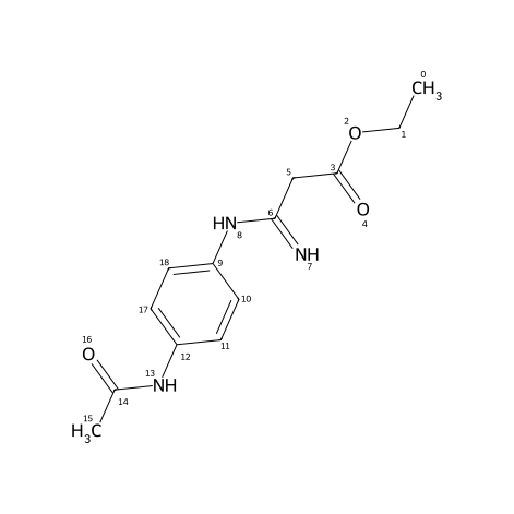 CCOC(=O)CC(=N)Nc1ccc(NC(C)=O)cc1